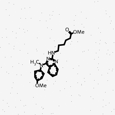 COC(=O)CCCCCNc1nc(N(C)c2ccc(OC)cc2)c2ccccc2n1